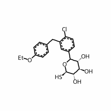 CCOc1ccc(Cc2cc(C3O[C@H](S)[C@@H](O)[C@H](O)[C@H]3O)ccc2Cl)cc1